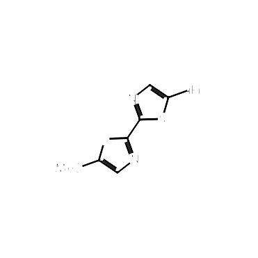 CSc1cnc(-c2ncc(C(C)C)s2)s1